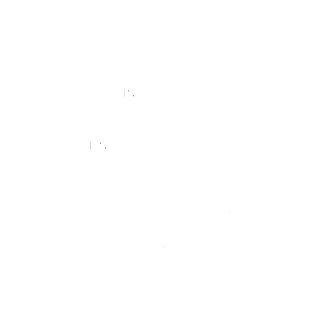 CN/C=C1/C=C(Br)C(OC)=C(F)C1=N